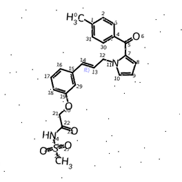 Cc1ccc(C(=O)c2cccn2C/C=C/c2cccc(OCC(=O)NS(C)(=O)=O)c2)cc1